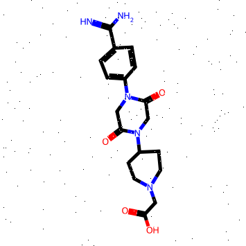 N=C(N)c1ccc(N2CC(=O)N(C3CCN(CC(=O)O)CC3)CC2=O)cc1